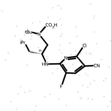 CC(C)C[C@H](CN(C(=O)O)C(C)(C)C)Nc1nc(Cl)c(C#N)cc1F